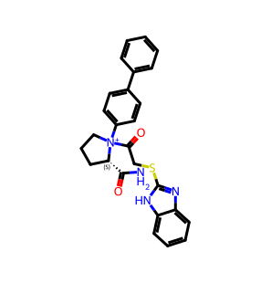 NC(=O)[C@@H]1CCC[N+]1(C(=O)CSc1nc2ccccc2[nH]1)c1ccc(-c2ccccc2)cc1